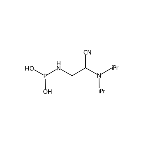 CC(C)N(C(C)C)C(C#N)CNP(O)O